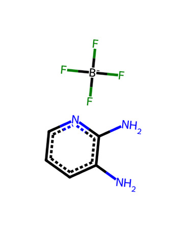 F[B-](F)(F)F.Nc1cccnc1N